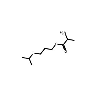 CC(C)SCCCOC(=O)C(C)N